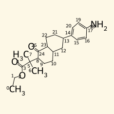 CCOC(=O)C(C)(C)C1CCC2CC(c3ccc(N)cc3)CCC2C1=O